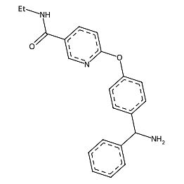 CCNC(=O)c1ccc(Oc2ccc(C(N)c3ccccc3)cc2)nc1